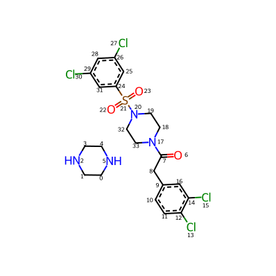 C1CNCCN1.O=C(Cc1ccc(Cl)c(Cl)c1)N1CCN(S(=O)(=O)c2cc(Cl)cc(Cl)c2)CC1